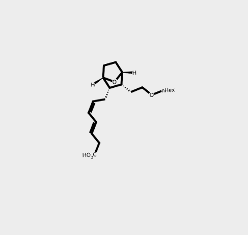 CCCCCCOCC[C@@H]1[C@H](C/C=C\C=CCC(=O)O)[C@@H]2CC[C@H]1O2